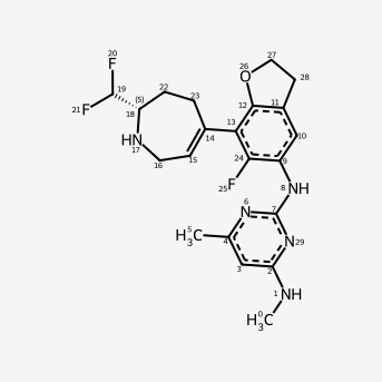 CNc1cc(C)nc(Nc2cc3c(c(C4=CCN[C@H](C(F)F)CC4)c2F)OCC3)n1